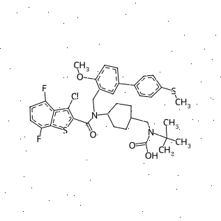 COc1ccc(-c2ccc(SC)cc2)cc1CN(C(=O)c1sc2c(F)ccc(F)c2c1Cl)C1CCC(CN(C(=O)O)C(C)(C)C)CC1